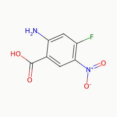 Nc1cc(F)c([N+](=O)[O-])cc1C(=O)O